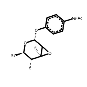 CC[C@H]1O[C@H](Oc2ccc(NC(C)=O)cc2)C2O[C@H]2[C@@H]1C